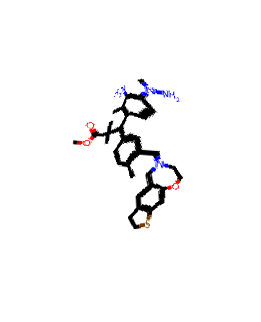 COC(=O)C(C)(C)C(c1ccc(C)c(CN2CCOc3cc4c(cc3C2)CCS4)c1)c1ccc(N(C)N)c(N)c1C